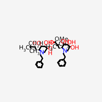 CC(C)(CC[C@@H]1[C@@H](O)[C@H](O)[C@@H](O)CN1CCc1ccccc1)C(=O)O.COC(=O)C(C)(C)C[C@@H]1[C@@H](O)[C@H](O)[C@@H](O)CN1CCc1ccccc1